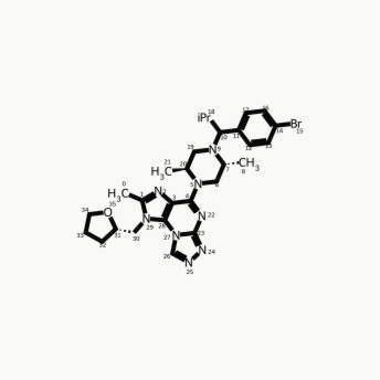 Cc1nc2c(N3C[C@@H](C)N(C(c4ccc(Br)cc4)C(C)C)C[C@@H]3C)nc3nncn3c2n1C[C@@H]1CCCO1